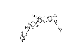 COCCCOc1cc(C[C@@H](C[C@H](N)[C@@H](O)C[C@@H](C)C(=O)NCCCc2cnc[nH]2)C(C)C)ccc1OC.Cl